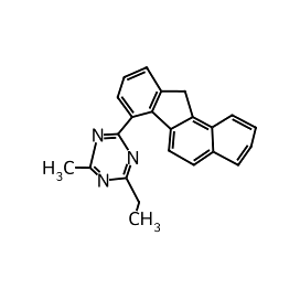 CCc1nc(C)nc(-c2cccc3c2-c2ccc4ccccc4c2C3)n1